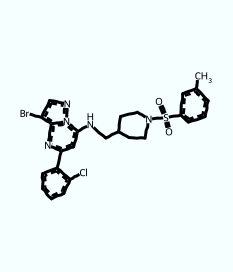 Cc1cccc(S(=O)(=O)N2CCC(CNc3cc(-c4ccccc4Cl)nc4c(Br)cnn34)CC2)c1